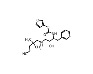 CC(C)(CCC#N)CNC[C@@H](O)[C@H](Cc1ccccc1)NC(=O)Oc1ccoc1